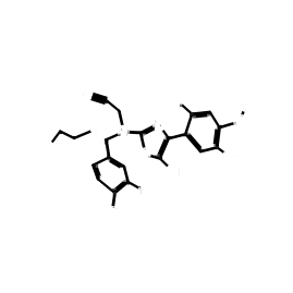 C#CCN(c1nc(-c2cc(C)c(OC)cc2Cl)c(C)s1)[C@@H](CCCC)c1ccc(C)c(F)c1.Cl